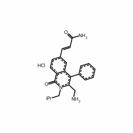 CC(C)Cn1c(CN)c(-c2ccccc2)c2cc(C=CC(N)=O)ccc2c1=O.Cl